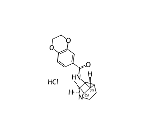 C[C@H]1[C@H](NC(=O)c2ccc3c(c2)OCCO3)C2CCN1CC2.Cl